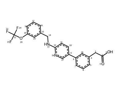 O=C(O)Cc1cccc(-c2ccc(NCc3cccc(OC(F)(F)F)c3)nc2)c1